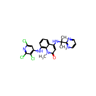 Cn1c(=O)cc(NC(C)(C)c2ncccn2)c2cccc(Nc3cc(Cl)nc(Cl)c3Cl)c21